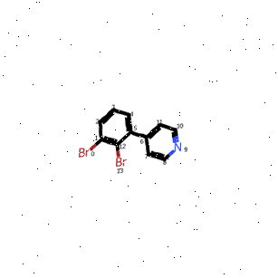 Brc1cccc(-c2c[c]ncc2)c1Br